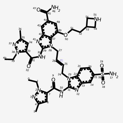 CCn1nc(C)cc1C(=O)Nc1nc2cc(S(N)(=O)=O)ccc2n1C/C=C/Cn1c(NC(=O)c2cc(C)nn2CC)nc2cc(C(N)=O)cc(OCCC3CNC3)c21